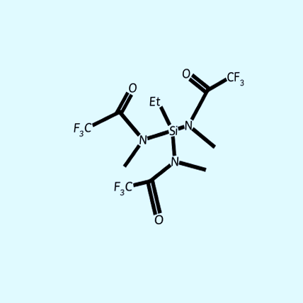 CC[Si](N(C)C(=O)C(F)(F)F)(N(C)C(=O)C(F)(F)F)N(C)C(=O)C(F)(F)F